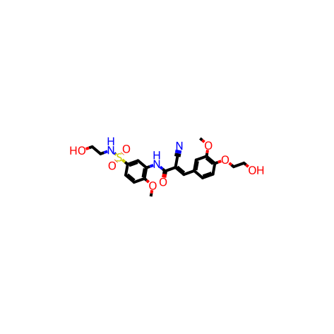 COc1ccc(S(=O)(=O)NCCO)cc1NC(=O)C(C#N)=Cc1ccc(OCCO)c(OC)c1